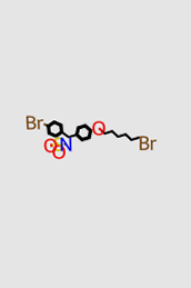 O=S1(=O)N=C(c2ccc(OCCCCCCBr)cc2)c2ccc(Br)cc21